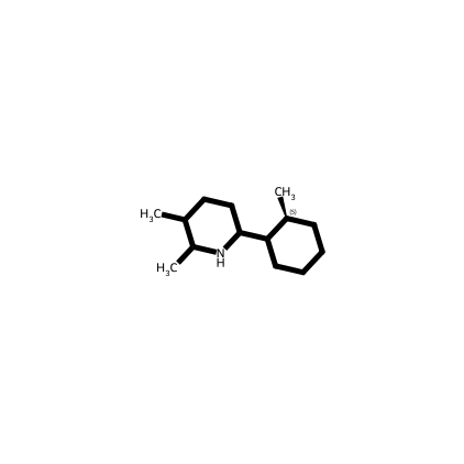 CC1CCC(C2CCCC[C@@H]2C)NC1C